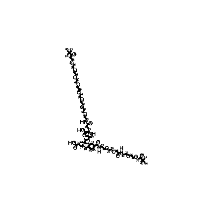 CC(C)(CCC(C)(C)N(CCC(=O)O)Cc1ccc(C(=O)NCCOCCOCC(=O)NCCOCCOCC(=O)C(C)(C)C)cc1)N[C@@H](CCC(=O)NCCOCCOCCOCCOCCOCCOCCOCCOCCC(=O)C(C)(C)C)C(=O)O